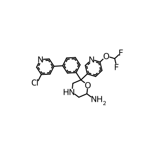 NC1CNCC(c2ccc(OC(F)F)nc2)(c2cccc(-c3cncc(Cl)c3)c2)O1